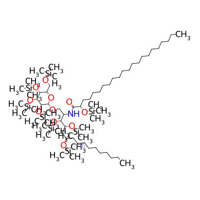 CCCCCCC/C=C/CC(CC(O[Si](C)(C)C)C(O[Si](C)(C)C)C(COC1OC(CO[Si](C)(C)C)C(O[Si](C)(C)C)C(O[Si](C)(C)C)C1O[Si](C)(C)C)NC(=O)C(CCCCCCCCCCCCCCCCCCCC)O[Si](C)(C)C)O[Si](C)(C)C